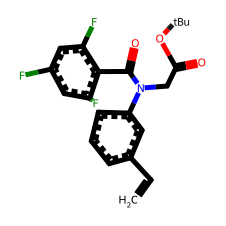 C=Cc1cccc(N(CC(=O)OC(C)(C)C)C(=O)c2c(F)cc(F)cc2F)c1